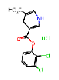 Cl.O=C(O)C1=CNC=C(C(=O)Oc2cccc(Cl)c2Cl)C1